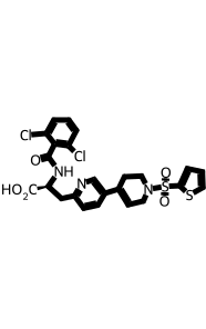 O=C(N[C@@H](Cc1ccc(C2=CCN(S(=O)(=O)c3cccs3)CC2)cn1)C(=O)O)c1c(Cl)cccc1Cl